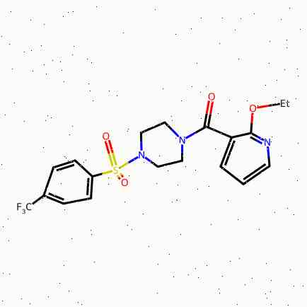 CCOc1ncccc1C(=O)N1CCN(S(=O)(=O)c2ccc(C(F)(F)F)cc2)CC1